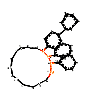 c1ccc(-c2ccc(P3CCCCCCCCCCCCPP(c4ccccc4)P3c3ccccc3)cc2)cc1